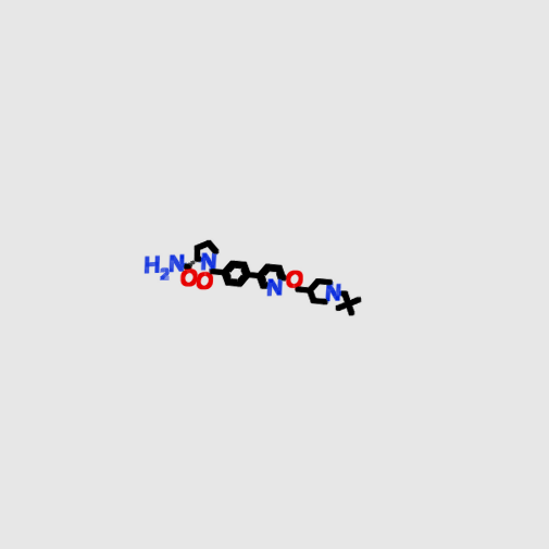 CC(C)(C)CN1CCC(COc2ccc(-c3ccc(C(=O)N4CCC[C@H]4C(N)=O)cc3)cn2)CC1